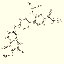 CCn1c(=O)[nH]c2cc(CN3CCN(c4ccc(C(=O)NC)nc4CC(F)F)CC3)ccc2c1=O